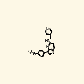 FC(F)(F)Oc1ccc(-c2cnn3ccc(NCc4ccncc4)nc23)cc1